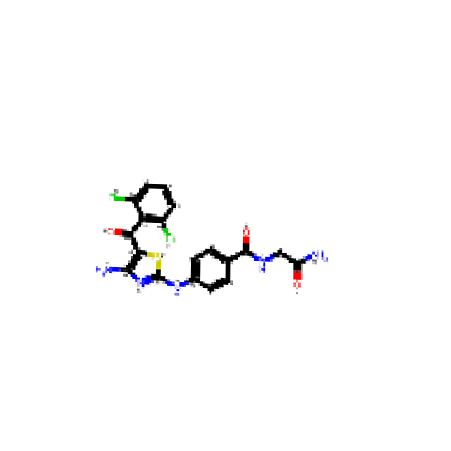 NC(=O)CNC(=O)c1ccc(Nc2nc(N)c(C(=O)c3c(Cl)cccc3Cl)s2)cc1